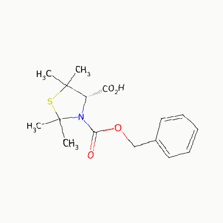 CC1(C)SC(C)(C)N(C(=O)OCc2ccccc2)[C@H]1C(=O)O